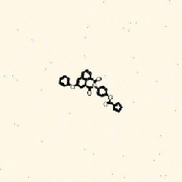 O=C(Oc1ccc(N2C(=O)c3cccc4cc(Oc5ccccc5)cc(c34)C2=O)cc1)C1=CCC=C1